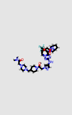 CN(C)C(=O)CN1CCN(CC2CCN(C(=O)Cn3cc(Nc4nc5c(N6CC7CCC(C6)N7C(=O)CCC(F)(F)F)cccn5n4)cn3)CC2)CC1